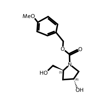 COc1ccc(COC(=O)N2C[C@H](O)C[C@H]2CO)cc1